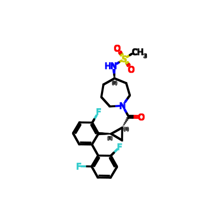 CS(=O)(=O)N[C@@H]1CCCN(C(=O)[C@@H]2C[C@H]2c2c(F)cccc2-c2c(F)cccc2F)CC1